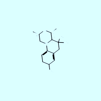 C[C@@H]1CN2C3=CCC(C#N)C=C3CC(C#N)(C#N)[C@@H]2[C@H](C)O1